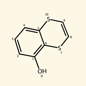 Oc1cccc2c1SC=CS2